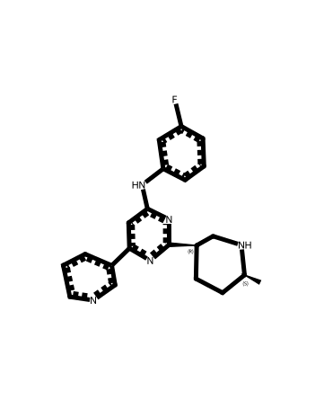 C[C@H]1CC[C@@H](c2nc(Nc3cccc(F)c3)cc(-c3cccnc3)n2)CN1